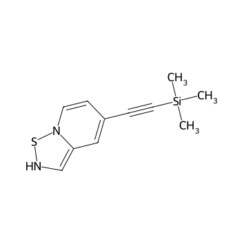 C[Si](C)(C)C#CC1=CC2=CNSN2C=C1